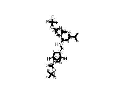 CC(C)c1cc(NC[C@@H]2C[C@@H]3C[C@H]2CN3C(=O)OC(C)(C)C)n2nc(OC(F)(F)F)nc2n1